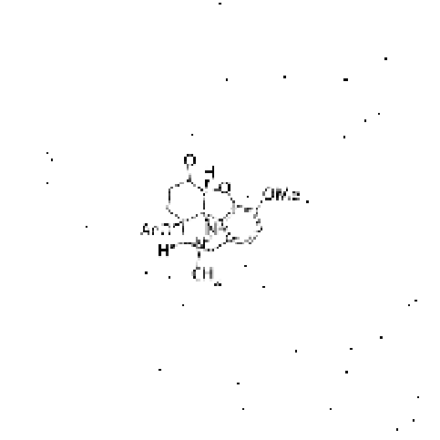 COc1ccc2c3c1O[C@H]1C(=O)CC[C@@]4(OC(C)=O)[C@@H](C2)N(C)CN[C@]314